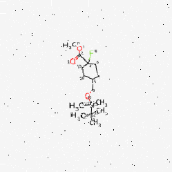 COC(=O)C1(F)CCC(CO[Si](C)(C)C(C)(C)C)CC1